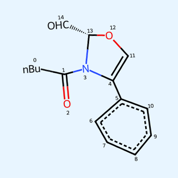 CCCCC(=O)N1C(c2ccccc2)=CO[C@H]1C=O